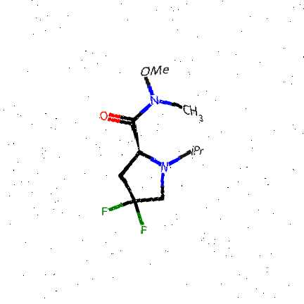 CON(C)C(=O)[C@@H]1CC(F)(F)CN1C(C)C